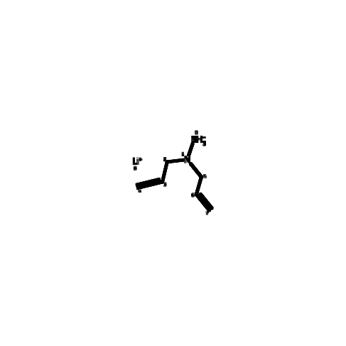 [BH3-]N(CC=C)CC=C.[Li+]